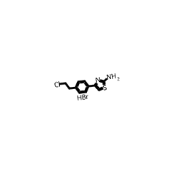 Br.Nc1nc(-c2ccc(CCCl)cc2)cs1